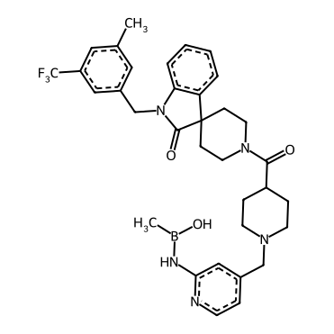 CB(O)Nc1cc(CN2CCC(C(=O)N3CCC4(CC3)C(=O)N(Cc3cc(C)cc(C(F)(F)F)c3)c3ccccc34)CC2)ccn1